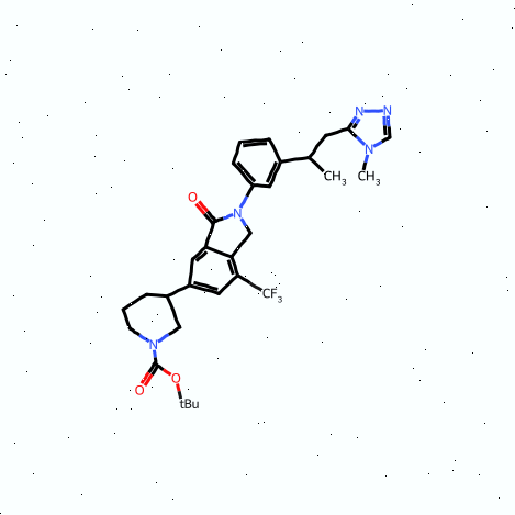 CC(Cc1nncn1C)c1cccc(N2Cc3c(cc(C4CCCN(C(=O)OC(C)(C)C)C4)cc3C(F)(F)F)C2=O)c1